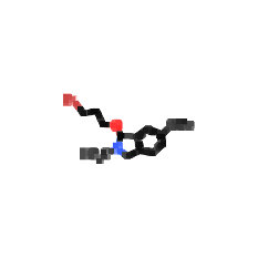 COc1ccc2c(c1)C(OCCCBr)N(C(=O)O)C2